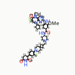 COC1=CC(C(=O)NC2CCN(CC3CC4(CCN(c5ccc(C6CCC(=O)NC6=O)cc5F)CC4)C3)CC2)CC=C1Nc1ncc2c(n1)N(C1CCCC1)CC(F)(F)C(=O)N2C